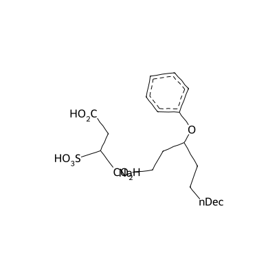 CCCCCCCCCCCCC(C[CH2][Na])Oc1ccccc1.O=C(O)CC(C(=O)O)S(=O)(=O)O